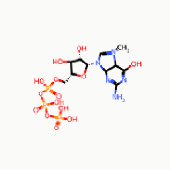 C[N+]1=CN([C@@H]2O[C@H](COP(=O)(O)OP(=O)(O)OP(=O)(O)O)C(O)[C@@H]2O)C2N=C(N)N=C(O)C21